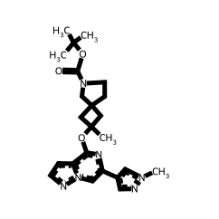 Cn1cc(-c2cn3nccc3c(OC3(C)CC4(CCN(C(=O)OC(C)(C)C)C4)C3)n2)cn1